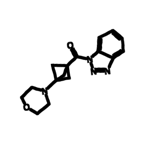 O=C(n1nnc2ccccc21)C12CC(N3CCOCC3)(C1)C2